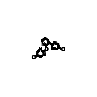 Clc1ccc(-c2cccnc2Oc2ncc(Cl)cn2)nc1